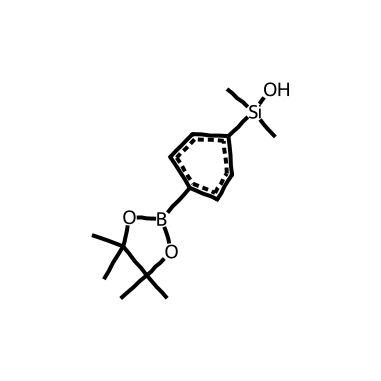 CC1(C)OB(c2ccc([Si](C)(C)O)cc2)OC1(C)C